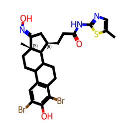 Cc1cnc(NC(=O)CC[C@@H]2CC(=NO)[C@@]3(C)CCC4c5cc(Br)c(O)c(Br)c5CCC4C23)s1